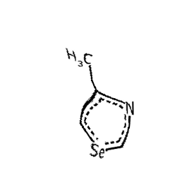 Cc1c[se]cn1